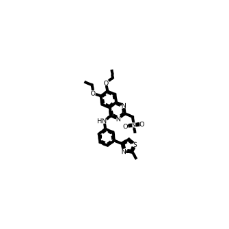 CCOc1cc2nc(CS(C)(=O)=O)nc(Nc3cccc(-c4csc(C)n4)c3)c2cc1OCC